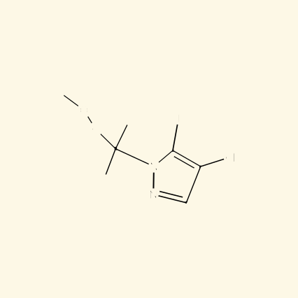 COCC(C)(C)n1ncc(Cl)c1I